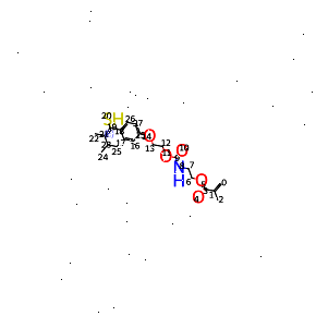 C=C(C)C(=O)OCCNC(=O)OCCOc1ccc(/C(S)=C(/C)C(C)C)cc1